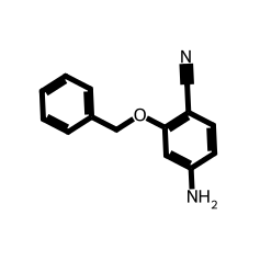 N#Cc1ccc(N)cc1OCc1ccccc1